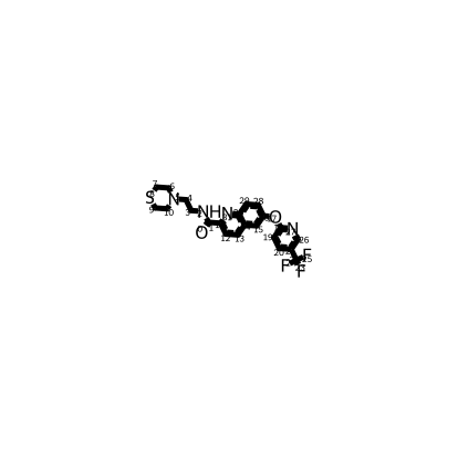 O=C(NCCN1CCSCC1)c1ccc2cc(Oc3ccc(C(F)(F)F)cn3)ccc2n1